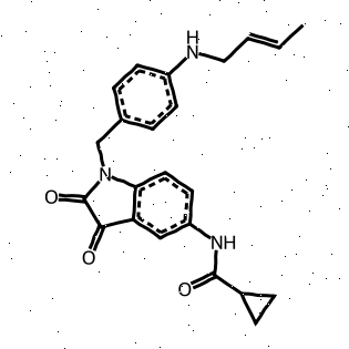 C/C=C/CNc1ccc(CN2C(=O)C(=O)c3cc(NC(=O)C4CC4)ccc32)cc1